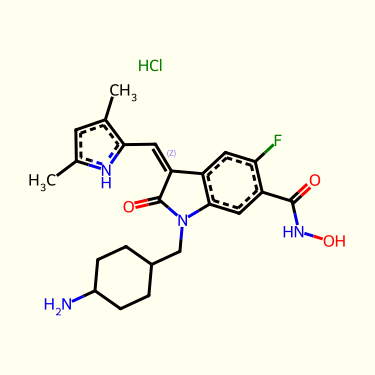 Cc1cc(C)c(/C=C2\C(=O)N(CC3CCC(N)CC3)c3cc(C(=O)NO)c(F)cc32)[nH]1.Cl